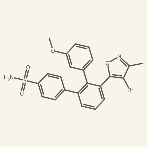 COc1cccc(-c2c(-c3ccc(S(N)(=O)=O)cc3)cccc2-c2onc(C)c2Br)c1